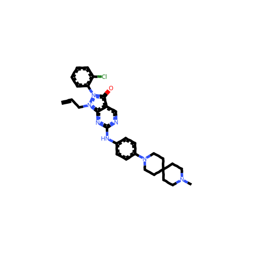 C=CCn1c2nc(Nc3ccc(N4CCC5(CCN(C)CC5)CC4)cc3)ncc2c(=O)n1-c1ccccc1Cl